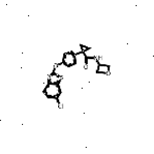 O=C(NC1COC1)C1(c2ccc(Oc3nc4ccc(Cl)cc4s3)cc2)CC1